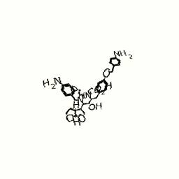 CC(C)CN(Cc1ccc(N)cc1)C([C@H]1CO[C@H]2OCC[C@H]21)[C@H](O)[C@H](Cc1ccc(OCc2ccc(N)cc2)cc1)NC(=O)O